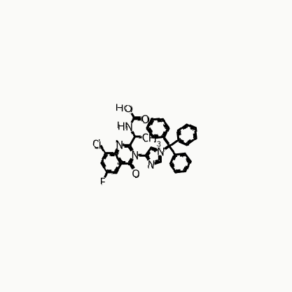 CC(NC(=O)O)c1nc2c(Cl)cc(F)cc2c(=O)n1-c1cn(C(c2ccccc2)(c2ccccc2)c2ccccc2)cn1